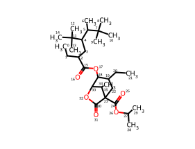 CCC(CC(C(C)C(C)(C)C)C(C)(C)C)C(=O)OC1C(CC)CC2(C(=O)OC(C)C)C(=O)OC1C2C